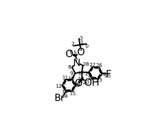 CC(C)(C)OC(=O)N1CC(c2ccc(Br)cc2)C(C(=O)O)(c2ccc(F)cc2)C1